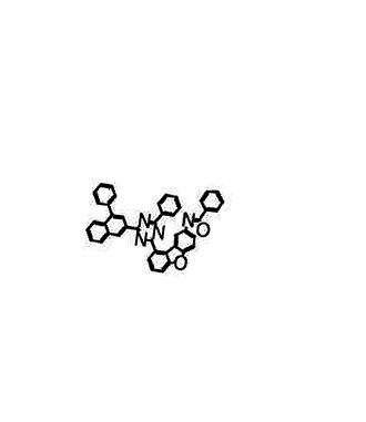 c1ccc(-c2nc(-c3cc(-c4ccccc4)c4ccccc4c3)nc(-c3cccc4oc5cc6oc(-c7ccccc7)nc6cc5c34)n2)cc1